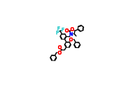 CC1C(c2ccccc2)OC(=O)N1Cc1cc(C(F)(F)F)ccc1-c1cc(CC(=O)OCc2ccccc2)ccc1OCc1ccccc1